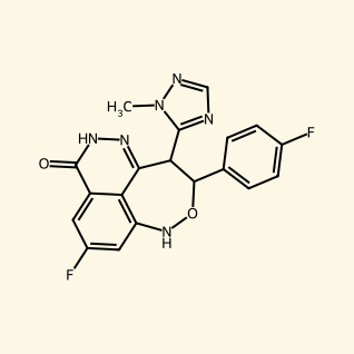 Cn1ncnc1C1c2n[nH]c(=O)c3cc(F)cc(c23)NOC1c1ccc(F)cc1